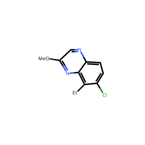 CCc1c(Cl)ccc2ncc(OC)nc12